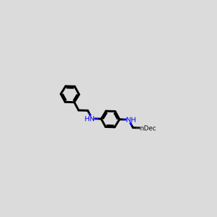 CCCCCCCCCCCNc1ccc(NCCc2ccccc2)cc1